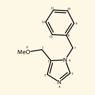 COCc1cncn1Cc1ccccc1